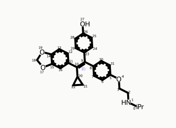 CC(C)NCCOc1ccc(/C(=C(/c2ccc3c(c2)OCO3)C2CC2)c2ccc(O)cc2)cc1